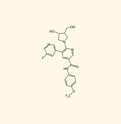 O=C(Nc1ccc(OC(F)(F)F)cc1)c1cnc(N2CC(O)C(CO)C2)c(-c2cncc(F)c2)c1